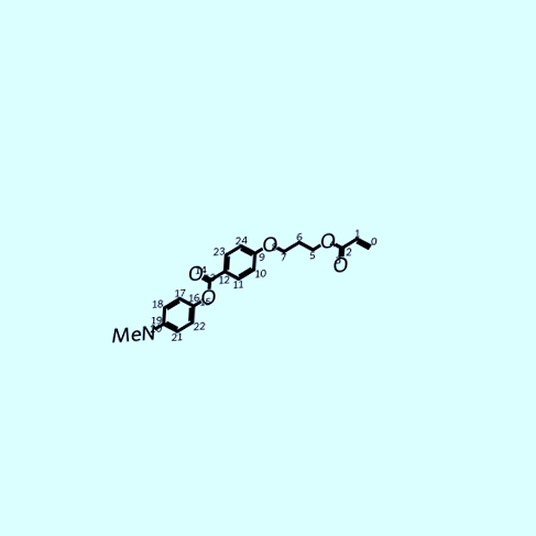 C=CC(=O)OCCCOc1ccc(C(=O)Oc2ccc(NC)cc2)cc1